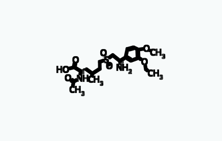 CCOc1cc([C@H](N)CS(=O)(=O)CCC(C)C[C@H](NC(C)=O)C(=O)O)ccc1OC